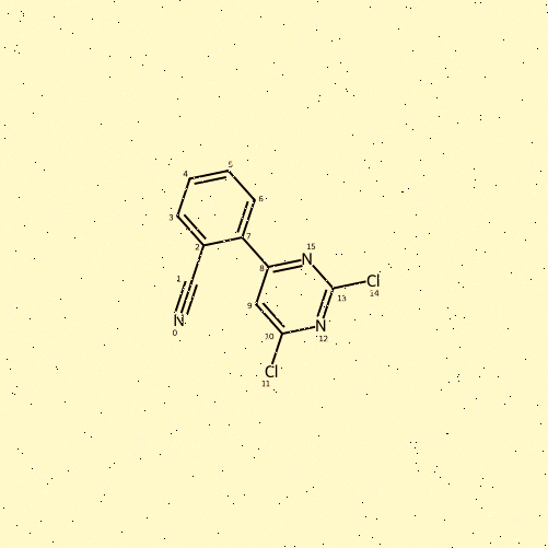 N#Cc1ccccc1-c1cc(Cl)nc(Cl)n1